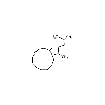 CC(C)CC1OC2CCCCCCCCCCC2C1C